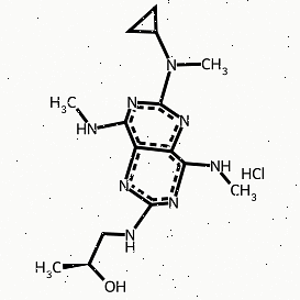 CNc1nc(N(C)C2CC2)nc2c(NC)nc(NC[C@H](C)O)nc12.Cl